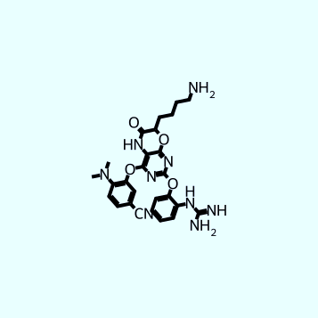 CN(C)c1ccc(C#N)cc1Oc1nc(Oc2ccccc2NC(=N)N)nc2c1NC(=O)C(CCCCN)O2